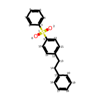 O=S(=O)(c1ccccc1)c1ccc(CCc2ccccc2)cc1